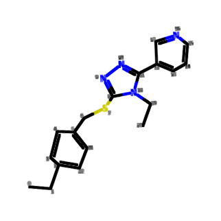 CCc1ccc(CSc2nnc(-c3cccnc3)n2CC)cc1